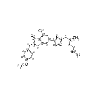 CCNCCN(C)Cc1nc(-c2cc(Cl)c3c(c2)CN(Cc2ccc(OC(F)(F)F)cc2)C3=O)no1